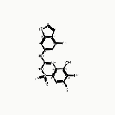 O=S1(=O)NC(Nc2cc(F)c3cc[nH]c3c2)=Nc2c1cc(F)c(F)c2O